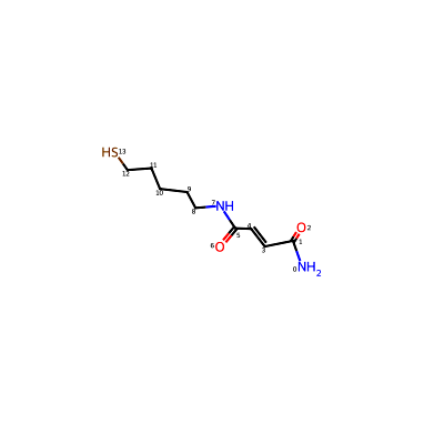 NC(=O)/C=C/C(=O)NCCCCCS